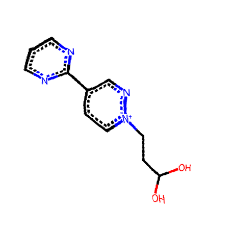 OC(O)CC[n+]1ccc(-c2ncccn2)cn1